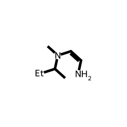 CCC(C)N(C)/C=C\N